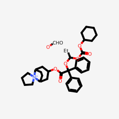 CCC(OC(=O)OC1CCCCC1)OC(C(=O)OC1CC2CCC(C1)[N+]21CCCC1)(c1ccccc1)c1ccccc1.O=C[O-]